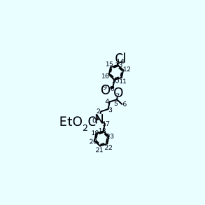 CCOC(=O)N(CCCC(C)OC(=O)c1ccc(Cl)cc1)Cc1ccccc1